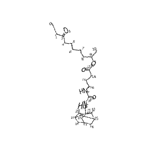 CCC(=O)CCCCCC(C)OC(=O)CCCNC(=O)NC12CC3CC(CC(C3)C1)C2